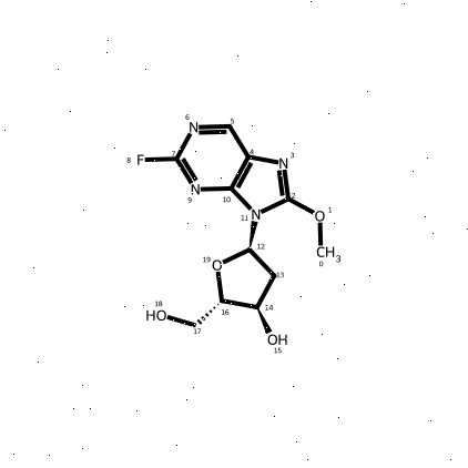 COc1nc2cnc(F)nc2n1[C@H]1C[C@@H](O)[C@H](CO)O1